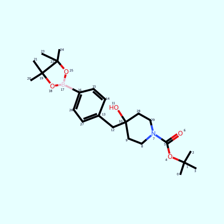 CC(C)(C)OC(=O)N1CCC(O)(Cc2ccc(B3OC(C)(C)C(C)(C)O3)cc2)CC1